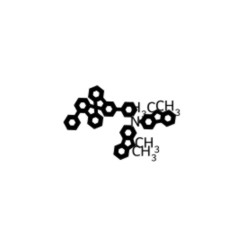 CC1(C)c2ccccc2-c2ccc(N(c3cccc(-c4ccc5c(c4)-c4ccccc4C54c5ccccc5-c5c(-c6ccccc6)cccc54)c3)c3ccc4c(c3)C(C)(C)c3ccccc3-4)cc21